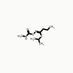 CCCC(=NOC(=O)NC)SC(C)C